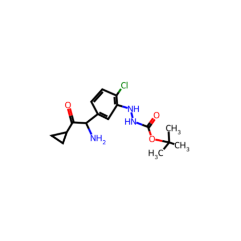 CC(C)(C)OC(=O)NNc1cc(C(N)C(=O)C2CC2)ccc1Cl